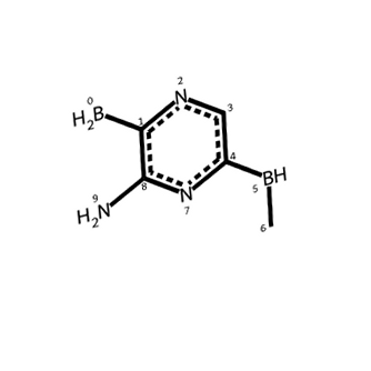 Bc1ncc(BC)nc1N